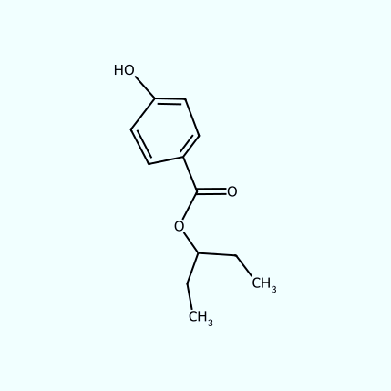 CCC(CC)OC(=O)c1ccc(O)cc1